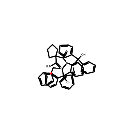 NC(=O)C1(C(=O)N([C@H](Cc2ccccc2)C(O)(c2ccccc2)c2ccccc2)[C@H](Cc2ccccc2)C(O)(c2ccccc2)c2ccccc2)CCCC1